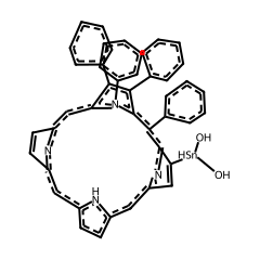 [OH][SnH]([OH])[C]1=Cc2cc3ccc(cc4nc(cc5c(-c6ccccc6)c(-c6ccccc6)c(c(-c6ccccc6)c1n2)n5-c1ccccc1)C=C4)[nH]3